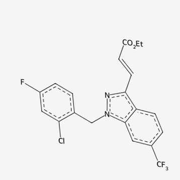 CCOC(=O)C=Cc1nn(Cc2ccc(F)cc2Cl)c2cc(C(F)(F)F)ccc12